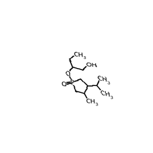 CCC(CO)OP1(=O)CC(C)C(C(C)C)C1